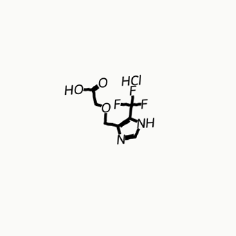 Cl.O=C(O)COCc1nc[nH]c1C(F)(F)F